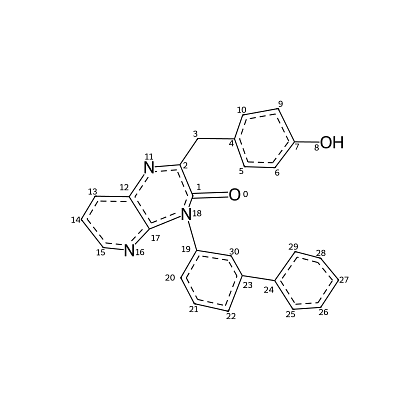 O=c1c(Cc2ccc(O)cc2)nc2cccnc2n1-c1cccc(-c2ccccc2)c1